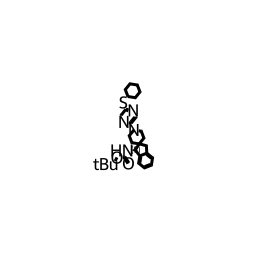 CC(C)(C)OC(=O)N[C@@H]1c2ccccc2CC12CCN(c1cnc(SC3CCCCC3)cn1)CC2